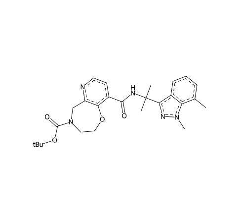 Cc1cccc2c(C(C)(C)NC(=O)c3ccnc4c3OCCN(C(=O)OC(C)(C)C)C4)nn(C)c12